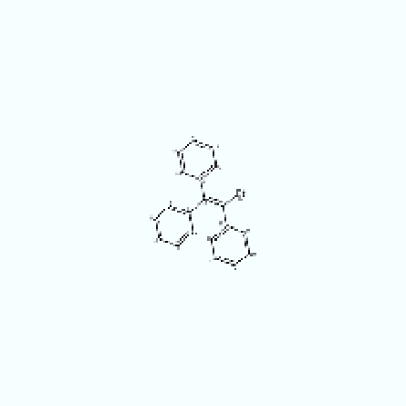 CCC(=C(c1cc[c]cc1)c1ccccc1)c1ccccc1